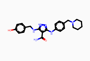 NC(=O)c1c(Nc2ccc(CN3CCCCC3)cc2)n[nH]c1NCc1ccc(O)cc1